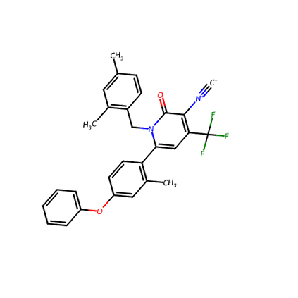 [C-]#[N+]c1c(C(F)(F)F)cc(-c2ccc(Oc3ccccc3)cc2C)n(Cc2ccc(C)cc2C)c1=O